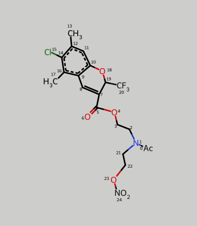 CC(=O)N(CCOC(=O)C1=Cc2c(cc(C)c(Cl)c2C)OC1C(F)(F)F)CCO[N+](=O)[O-]